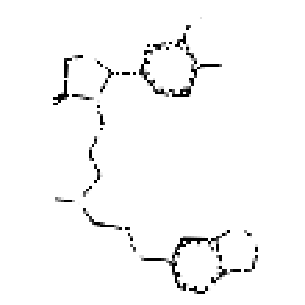 CN(CCCN1C(=O)CSC1c1ccc(O)c(C(C)(C)C)c1)CCOc1ccc2c(c1)OOC2